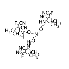 CC1(C)CC(NCCOCCN(CCOCCNC2=C(C#N)/C(=C(/F)C#N)CC(C)(C)C2)CCOCCNC2=C(C#N)/C(=C(/F)C#N)CC(C)(C)C2)=C(C#N)/C(=C(/F)C#N)C1